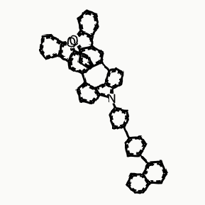 c1ccc2c(-c3ccc(-c4ccc(-n5c6cccc(-c7ccc8oc9ccccc9c8c7)c6c6c(-c7ccc8oc9ccccc9c8c7)cccc65)cc4)cc3)cccc2c1